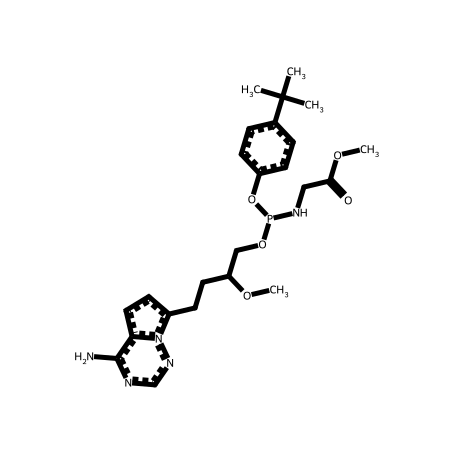 COC(=O)CNP(OCC(CCc1ccc2c(N)ncnn12)OC)Oc1ccc(C(C)(C)C)cc1